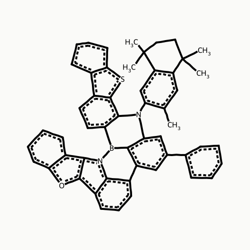 Cc1cc2c(cc1N1c3cc(-c4ccccc4)cc4c3B(c3ccc5c(sc6ccccc65)c31)n1c3c-4cccc3c3oc4ccccc4c31)C(C)(C)CCC2(C)C